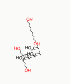 C=C(C)C(=O)O.C=C(C)C(=O)O.C=C(C)C(=O)O.C=C(C)C(=O)O.OCCCCCCCCCCO.OCCCCCCCCCO